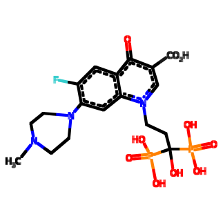 CN1CCN(c2cc3c(cc2F)c(=O)c(C(=O)O)cn3CCC(O)(P(=O)(O)O)P(=O)(O)O)CC1